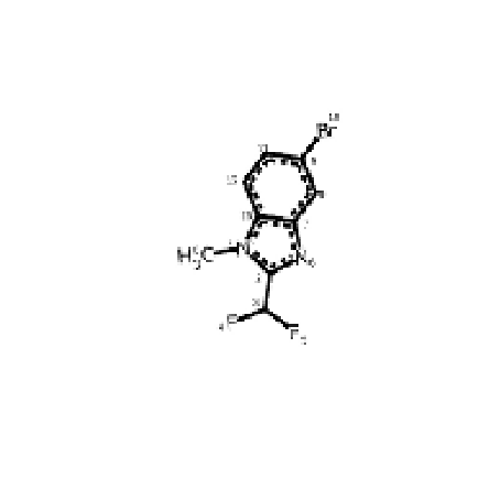 Cn1c(C(F)F)nc2cc(Br)ccc21